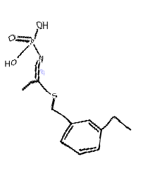 CCc1cccc(CS/C(C)=N/P(=O)(O)O)c1